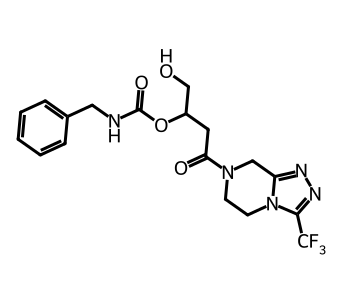 O=C(NCc1ccccc1)OC(CO)CC(=O)N1CCn2c(nnc2C(F)(F)F)C1